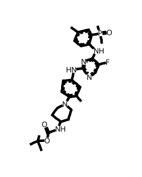 Cc1ccc(Nc2nc(Nc3ccc(N4CCC(NC(=O)OC(C)(C)C)CC4)c(C)c3)ncc2F)c(P(C)(C)=O)c1